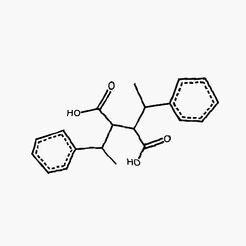 CC(c1ccccc1)C(C(=O)O)C(C(=O)O)C(C)c1ccccc1